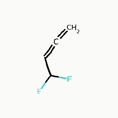 C=C=CC(F)F